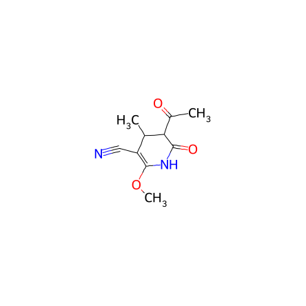 COC1=C(C#N)C(C)C(C(C)=O)C(=O)N1